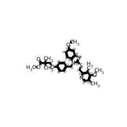 COC(=O)C(C)(C)COc1ccc(Cn2c(SCc3ncc(C)c(OC)c3C)nc3cc(OC)ccc32)cc1